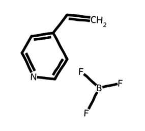 C=Cc1ccncc1.FB(F)F